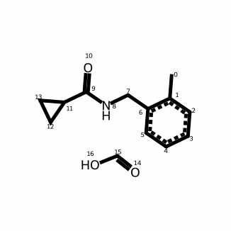 Cc1ccccc1CNC(=O)C1CC1.O=CO